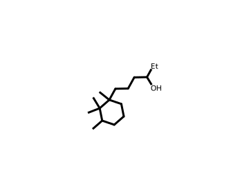 CCC(O)CCCC1(C)CCCC(C)C1(C)C